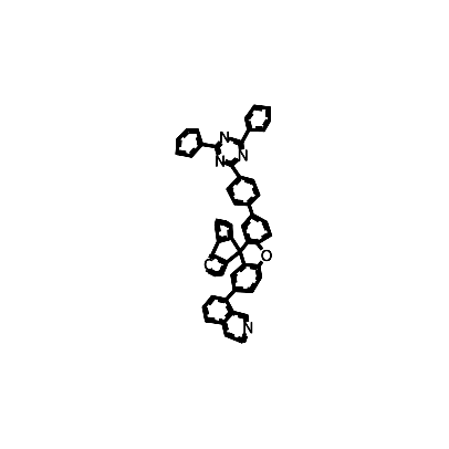 c1ccc(-c2nc(-c3ccccc3)nc(-c3ccc(-c4ccc5c(c4)C4(c6cc(-c7cccc8ccncc78)ccc6O5)c5ccccc5-c5ccccc54)cc3)n2)cc1